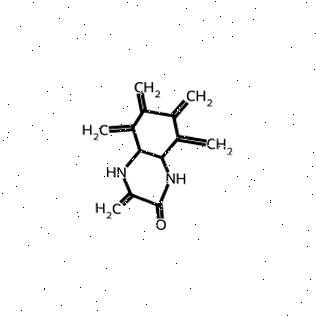 C=C1NC2C(=C)C(=C)C(=C)C(=C)C2NC1=O